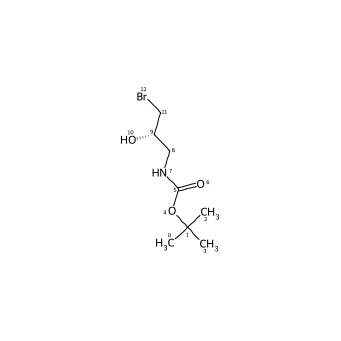 CC(C)(C)OC(=O)NC[C@H](O)CBr